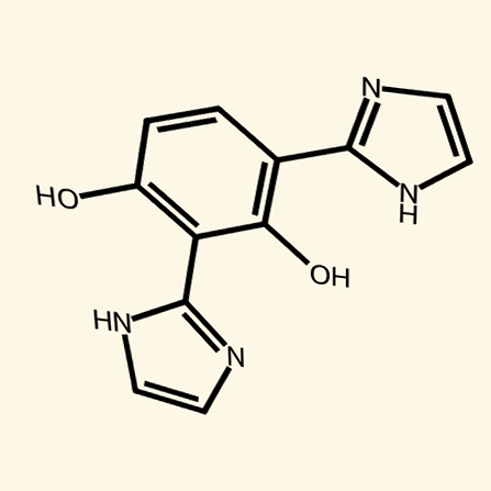 Oc1ccc(-c2ncc[nH]2)c(O)c1-c1ncc[nH]1